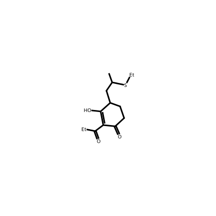 CCSC(C)CC1CCC(=O)C(C(=O)CC)=C1O